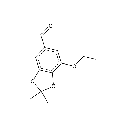 CCOc1cc(C=O)cc2c1OC(C)(C)O2